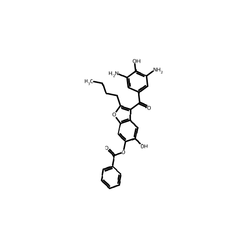 CCCCc1oc2cc(OC(=O)c3ccccc3)c(O)cc2c1C(=O)c1cc(N)c(O)c(N)c1